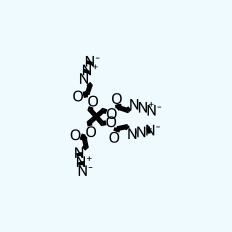 [N-]=[N+]=NCC(=O)OCC(COC(=O)CN=[N+]=[N-])(COC(=O)CN=[N+]=[N-])COC(=O)CN=[N+]=[N-]